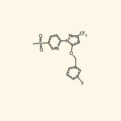 CS(=O)(=O)c1ccc(-n2nc(C(F)(F)F)cc2OCc2cccc(F)c2)nc1